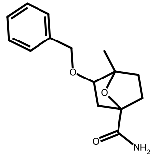 CC12CCC(C(N)=O)(CC1OCc1ccccc1)O2